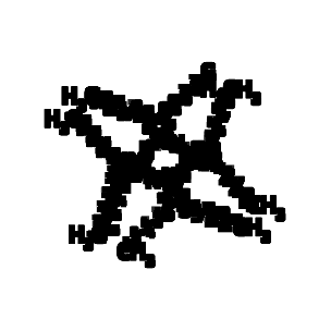 CCCCCCCCSc1cc2c(cc1SCCCCCCCC)-c1nc-2nc2[nH]c(nc3nc(nc4[nH]c(n1)c1cc(SCCCCCCCC)c(SCCCCCCCC)cc41)-c1cc(SCCCCCCCC)c(SCCCCCCCC)cc1-3)c1cc(SCCCCCCCC)c(SCCCCCCCC)cc21